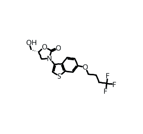 O=C1O[C@@H](CO)CN1c1csc2cc(OCCCC(F)(F)F)ccc12